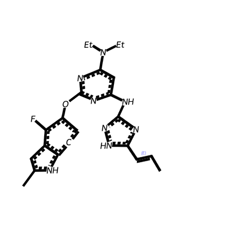 C/C=C/c1nc(Nc2cc(N(CC)CC)nc(Oc3ccc4[nH]c(C)cc4c3F)n2)n[nH]1